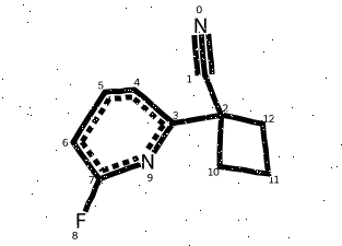 N#CC1(c2cccc(F)n2)CCC1